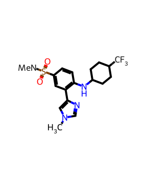 CNS(=O)(=O)c1ccc(NC2CCC(C(F)(F)F)CC2)c(-c2cn(C)cn2)c1